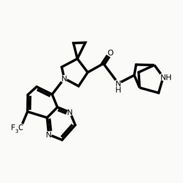 O=C(NC1CC2CC1CN2)C1CN(c2ccc(C(F)(F)F)c3nccnc23)CC12CC2